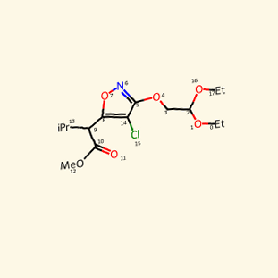 CCOC(COc1noc(C(C(=O)OC)C(C)C)c1Cl)OCC